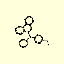 CCc1ccc(N(c2ccccc2)c2cc3ccccc3c3ccccc23)cc1